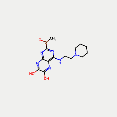 C[S+]([O-])c1nc(NCCN2CCCCC2)c2nc(O)c(O)nc2n1